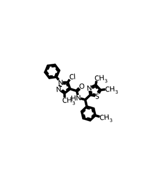 Cc1cccc(C(NC(=O)c2c(C)nn(-c3ccccc3)c2Cl)c2nc(C)c(C)s2)c1